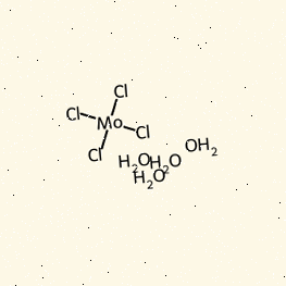 O.O.O.O.[Cl][Mo]([Cl])([Cl])[Cl]